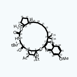 CC[C@@H]1[C@@H]2CN(C(=O)[C@H](C(C)(C)C)NC(=O)O[C@]3(C)CCC[C@H]3CCCCCC(F)(F)c3nc4ccc(OC)cc4nc3O2)[C@@H]1C(C)=O